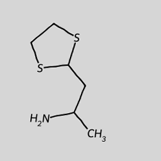 CC(N)CC1SCCS1